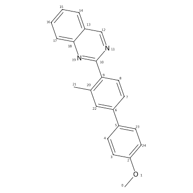 COc1ccc(-c2ccc(-c3ncc4ccccc4n3)c(C)c2)cc1